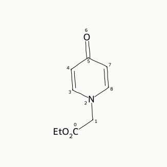 CCOC(=O)Cn1ccc(=O)cc1